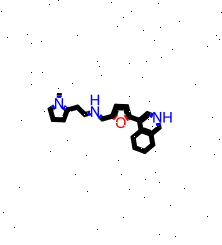 CN1CCCC1CCNCc1ccc(C2=CNCC3=C2CCCC3)o1